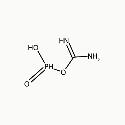 N=C(N)O[PH](=O)O